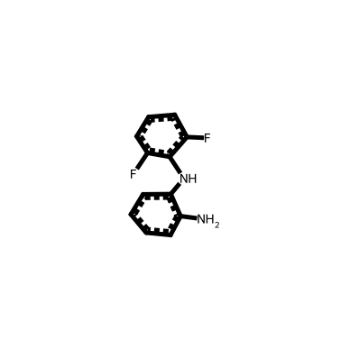 Nc1ccccc1Nc1c(F)cccc1F